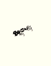 CN(C)CCN1CCN(c2nn3c4c(ccc3c2N)CCC4)CC1